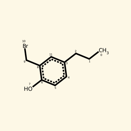 CCCc1ccc(O)c(CBr)c1